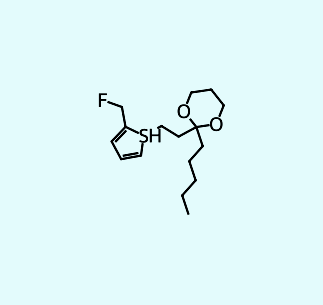 CCCCCC1(CC[SH]2C=CC=C2CF)OCCCO1